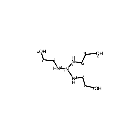 OCCNN(NCCO)NCCO